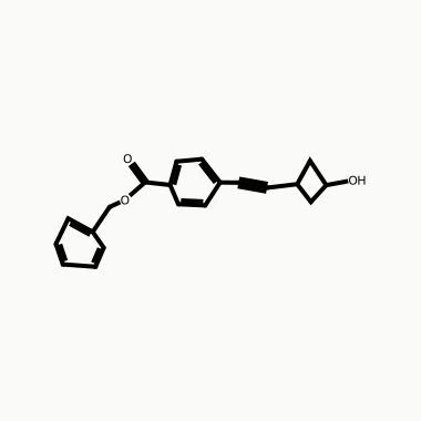 O=C(OCc1ccccc1)c1ccc(C#CC2CC(O)C2)cc1